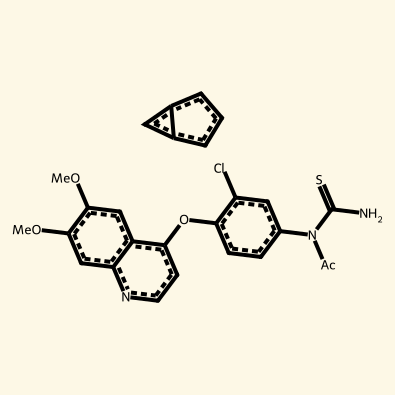 COc1cc2nccc(Oc3ccc(N(C(C)=O)C(N)=S)cc3Cl)c2cc1OC.c1cc2cc-2c1